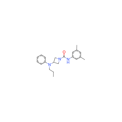 CCCN(c1ccccc1)C1CN(C(=O)Nc2cc(C)cc(C)c2)C1